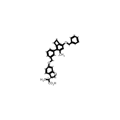 Cc1cc(OCc2ccccc2)c2c(c1-c1cccc(COc3ccc4c(c3)OC[C@H]4C(C)C(=O)O)c1)CC2